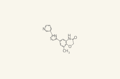 Cc1cc(-c2csc(-c3cccnc3)n2)cc2c1OCC(=O)N2